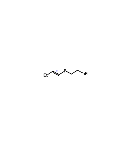 CC/C=C/[P]CCCCC